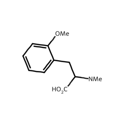 CNC(Cc1ccccc1OC)C(=O)O